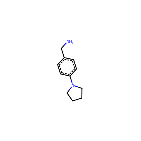 NCc1ccc(N2C[CH]CC2)cc1